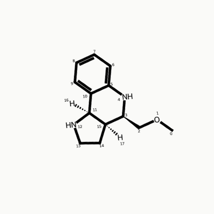 COC[C@@H]1Nc2ccccc2[C@@H]2NCC[C@H]12